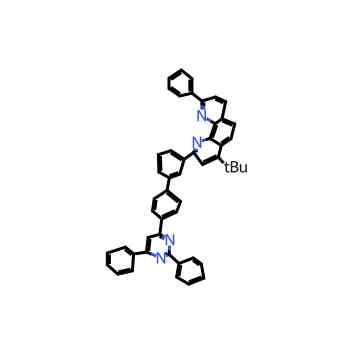 CC(C)(C)c1cc(-c2cccc(-c3ccc(-c4cc(-c5ccccc5)nc(-c5ccccc5)n4)cc3)c2)nc2c1ccc1ccc(-c3ccccc3)nc12